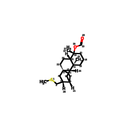 CSC[C@@H]1C[C@]23CC[C@H]1C[C@H]2[C@]1(C)CCC[C@@](C)(OC=O)[C@H]1CC3